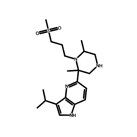 CC(C)c1c[nH]c2ccc(C3(C)CNCC(C)N3CCCS(C)(=O)=O)nc12